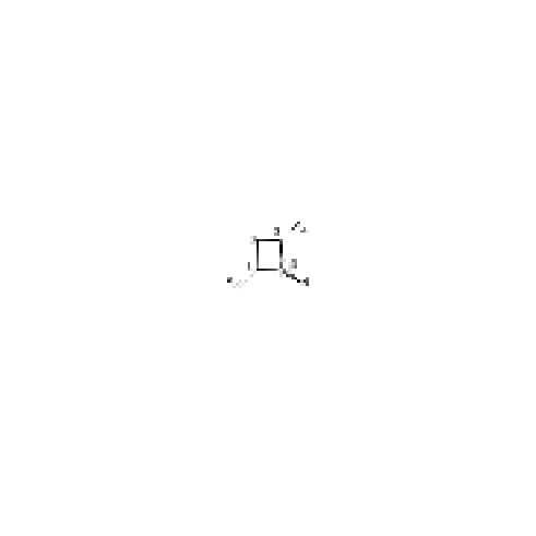 C[C@@H]1C[C@H](C)N1C